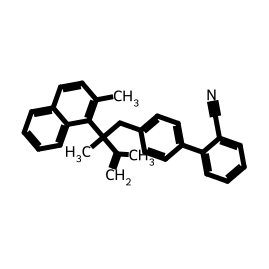 C=C(C)C(C)(Cc1ccc(-c2ccccc2C#N)cc1)c1c(C)ccc2ccccc12